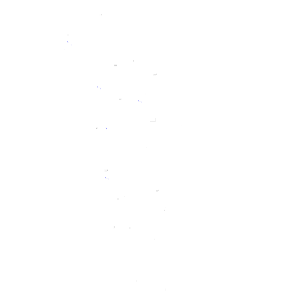 COc1cc(OC)c(Cl)c(-c2cc3c(C)nc(Nc4c(C)cccc4N)nc3[nH]c2=O)c1Cl